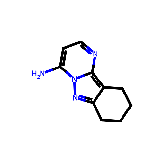 Nc1ccnc2c3c(nn12)CCCC3